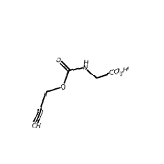 C#CCOC(=O)NCC(=O)O